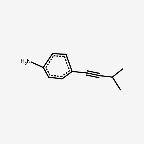 CC(C)C#Cc1ccc(N)cc1